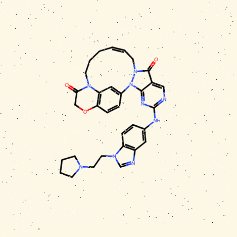 O=C1COc2ccc3cc2N1CCC/C=C\Cn1c(=O)c2cnc(Nc4ccc5c(c4)ncn5CCN4CCCC4)nc2n1-3